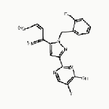 N=C(/C=C\O)c1cc(-c2ncc(F)c(O)n2)nn1Cc1ccccc1F